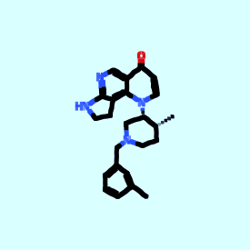 Cc1cccc(CN2CC[C@@H](C)[C@@H](n3ccc(=O)c4cnc5c(c43)CCN5)C2)c1